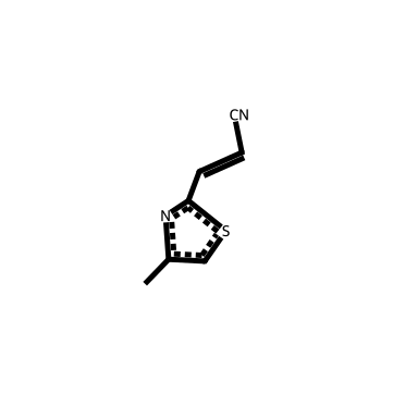 Cc1csc(/C=C/C#N)n1